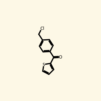 O=C(c1ccc(CCl)cc1)c1cccs1